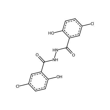 O=C(NNC(=O)c1cc(Cl)ccc1O)c1cc(Cl)ccc1O